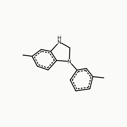 Cc1cccc(N2CNc3cc(C)ccc32)c1